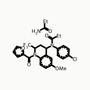 CCC(=O)N(c1ccc(Cl)cc1)C1CC(C(F)(F)F)N(C(=O)c2ccco2)c2ccc(OC)cc21.CCC(N)=O